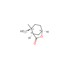 C[C@]1(C(=O)O)CC[C@@H]2C[C@H]1C(=O)O2